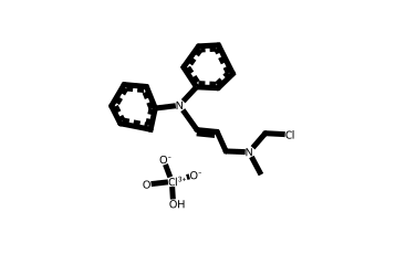 CN(CCl)CC=CN(c1ccccc1)c1ccccc1.[O-][Cl+3]([O-])([O-])O